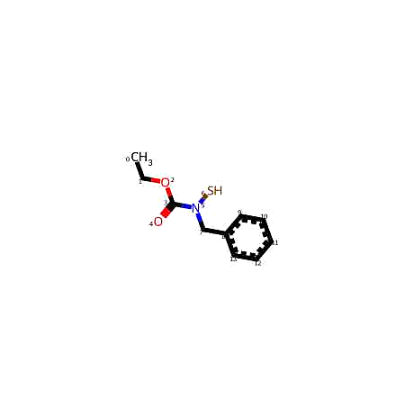 CCOC(=O)N(S)Cc1ccccc1